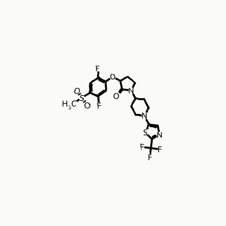 CS(=O)(=O)c1cc(F)c(OC2CCN(C3CCN(c4cnc(C(F)(F)F)s4)CC3)C2=O)cc1F